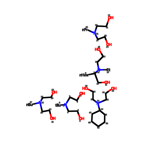 CC(C)(C)N(CCO)CCO.CCCCCCC(CO)N(CC)CCO.CCCCN(CCO)CCO.CCCN(CCO)CCO.OCCN(CCO)C1CCCCC1